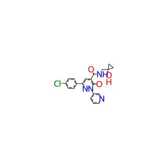 O=C(NCC1(O)CC1)c1cc(-c2ccc(Cl)cc2)nn(-c2cccnc2)c1=O